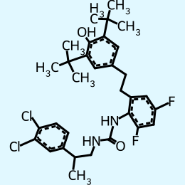 CC(CNC(=O)Nc1c(F)cc(F)cc1CCc1cc(C(C)(C)C)c(O)c(C(C)(C)C)c1)c1ccc(Cl)c(Cl)c1